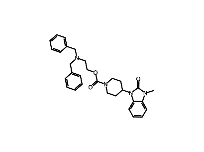 Cn1c(=O)n(C2CCN(C(=O)OCCN(Cc3ccccc3)Cc3ccccc3)CC2)c2ccccc21